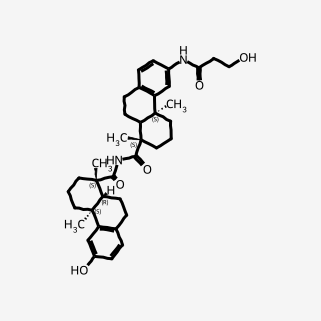 C[C@]1(C(=O)NC(=O)[C@@]2(C)CCC[C@]3(C)c4cc(O)ccc4CC[C@@H]23)CCC[C@]2(C)c3cc(NC(=O)CCO)ccc3CCC12